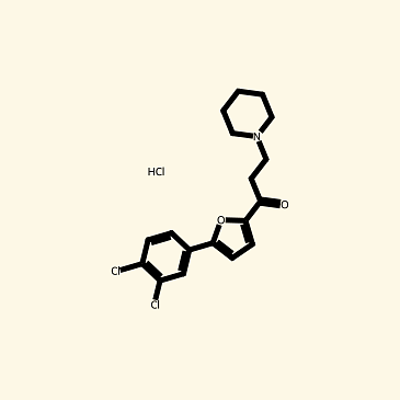 Cl.O=C(CCN1CCCCC1)c1ccc(-c2ccc(Cl)c(Cl)c2)o1